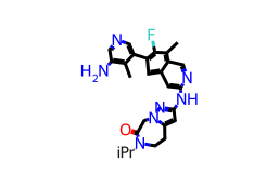 Cc1c(N)cncc1-c1cc2cc(Nc3cc4n(n3)CC(=O)N(C(C)C)CC4)ncc2c(C)c1F